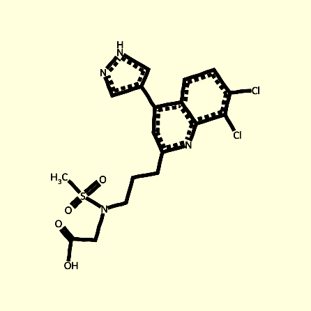 CS(=O)(=O)N(CCCc1cc(-c2cn[nH]c2)c2ccc(Cl)c(Cl)c2n1)CC(=O)O